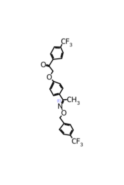 C/C(=N\OCc1ccc(C(F)(F)F)cc1)c1ccc(OCC(=O)c2ccc(C(F)(F)F)cc2)cc1